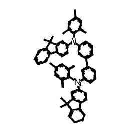 Cc1cc(C)c(N(c2cccc(-c3cccc(N(c4ccc5c(c4)C(C)(C)c4ccccc4-5)c4c(C)cc(C)cc4C)c3)c2)c2ccc3c(c2)C(C)(C)C2=CCCC=C23)c(C)c1